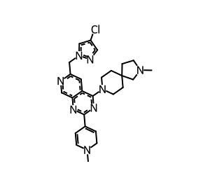 CN1C=CC(c2nc(N3CCC4(CCN(C)C4)CC3)c3cc(Cn4cc(Cl)cn4)ncc3n2)=CC1